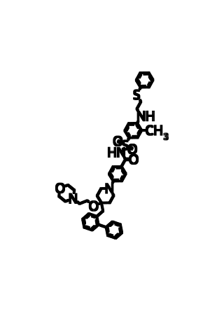 Cc1cc(S(=O)(=O)NC(=O)c2ccc(N3CCC(Cc4ccccc4-c4ccccc4)(OCCN4CCOCC4)CC3)cc2)ccc1NCCSc1ccccc1